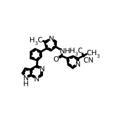 Cc1ncc(NC(=O)c2ccnc(C(C)(C)C#N)c2)cc1-c1cccc(-c2ncnc3[nH]ccc23)c1